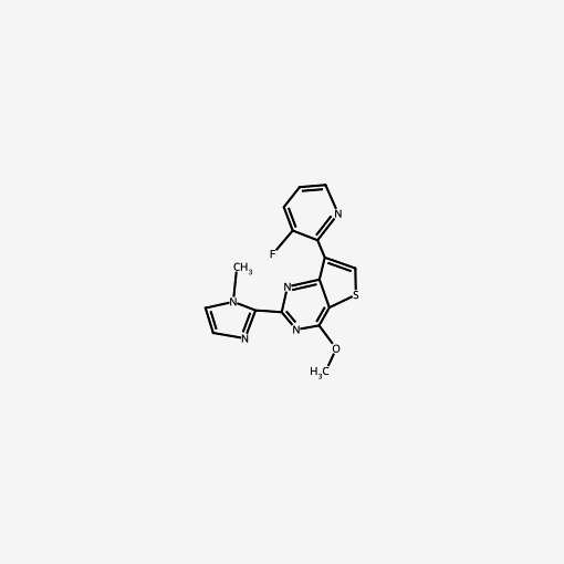 COc1nc(-c2nccn2C)nc2c(-c3ncccc3F)csc12